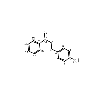 [CH2][C@@H](CCc1ccc(Cl)cc1)c1ccccc1